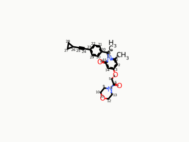 Cc1cc(OCC(=O)N2CCOCC2)cc(=O)n1[C@H](C)c1ccc(C#CC2CC2)cc1